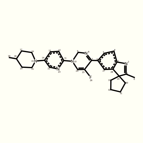 CC1=Nc2ccc(C3=NCN(c4ccc(N5CCC(C)CC5)cn4)C=C3F)cc2C12CCCC2